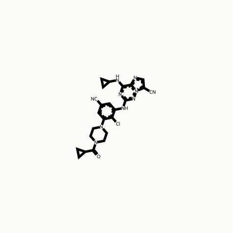 N#Cc1cc(Nc2nc(NC3CC3)c3ncc(C#N)n3n2)c(Cl)c(N2CCN(C(=O)C3CC3)CC2)c1